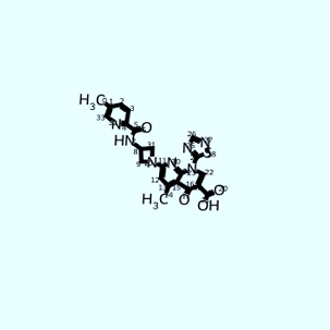 Cc1ccc(C(=O)NC2CN(c3cc(C)c4c(=O)c(C(=O)O)cn(-c5ncns5)c4n3)C2)nc1